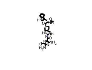 CC(=O)N[C@H](Cc1c[nH]c2ccccc12)C(=O)N1CCC2(CC1)CN/C(=N\C(=O)c1nc(Cl)c(N)nc1N)N2